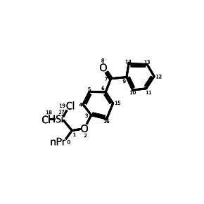 CCCC(Oc1ccc(C(=O)c2ccccc2)cc1)[SiH](Cl)Cl